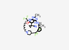 Cc1nc2c3cc(C4(C#N)CC4)c(=O)n(c3n1)C(C(F)F)CCCCCN1CCC(CC1)C(F)(F)c1cccc(c1F)[C@@H](C)N2